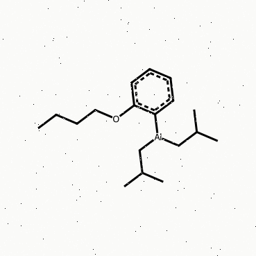 CCCCOc1cccc[c]1[Al]([CH2]C(C)C)[CH2]C(C)C